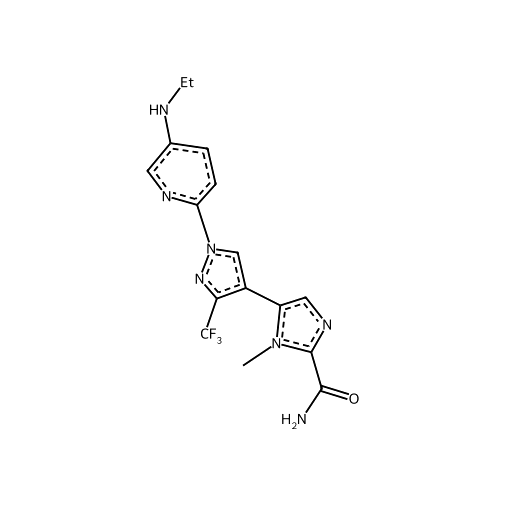 CCNc1ccc(-n2cc(-c3cnc(C(N)=O)n3C)c(C(F)(F)F)n2)nc1